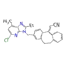 CCc1nc2c(C)cc(Cl)nc2n1Cc1ccc2c(c1)CCc1ccccc1/C2=C\C#N